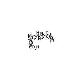 CCc1cc(Nc2nccn3c(-c4ccc(OC(F)F)c(F)c4F)cnc23)ccc1C(=O)N1CCN(C(=O)O)CC1